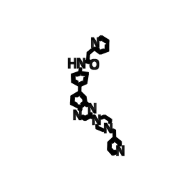 O=C(Cc1ccccn1)Nc1ccc(-c2ccc3ncc(N4CCN(Cc5cccnc5)CC4)nc3c2)cc1